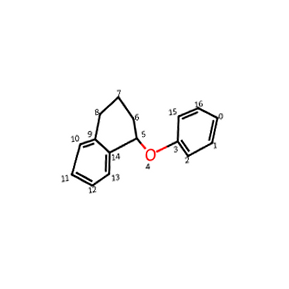 c1ccc(OC2CCCc3ccccc32)cc1